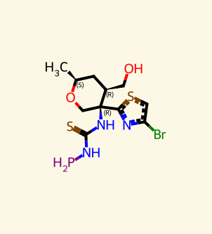 C[C@H]1C[C@@H](CO)[C@](NC(=S)NP)(c2nc(Br)cs2)CO1